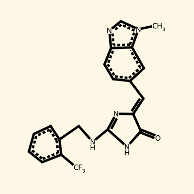 Cn1cnc2ccc(/C=C3\N=C(NCc4ccccc4C(F)(F)F)NC3=O)cc21